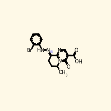 CC1CC/C(=N\Nc2ccccc2Br)c2ncc(C(=O)O)c(=O)n21